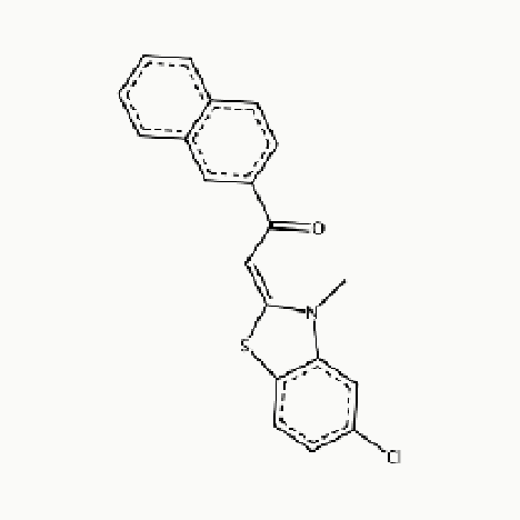 CN1C(=CC(=O)c2ccc3ccccc3c2)Sc2ccc(Cl)cc21